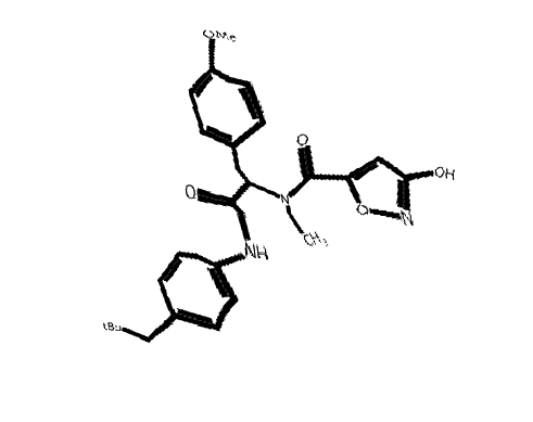 COc1ccc(C(C(=O)Nc2ccc(CC(C)(C)C)cc2)N(C)C(=O)c2cc(O)no2)cc1